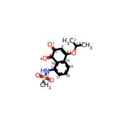 CC(C)OC1=CC(=O)C(=O)c2c(NS(C)(=O)=O)cccc21